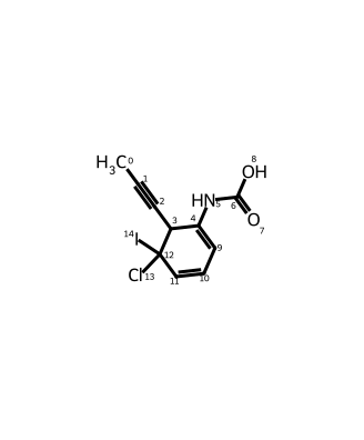 CC#CC1C(NC(=O)O)=CC=CC1(Cl)I